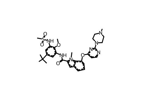 COc1c(NC(=O)c2cc3cccc(Oc4ccnc(N5CCN(C)CC5)n4)c3n2C)cc(C(C)(C)C)cc1NS(C)(=O)=O